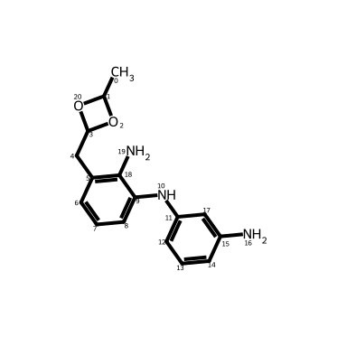 CC1OC(Cc2cccc(Nc3cccc(N)c3)c2N)O1